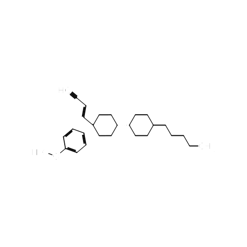 C#C/C=C/[C@]1(c2ccc(OC)cc2)CC[C@@H](C2CCC(CCCCC)CC2)CC1